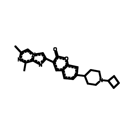 Cc1cn2cc(-c3cc4ccc(C5CCN(C6CCC6)CC5)cc4oc3=O)nc2c(C)n1